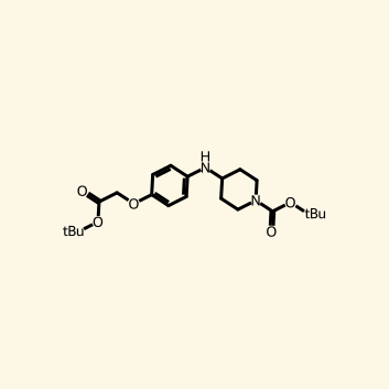 CC(C)(C)OC(=O)COc1ccc(NC2CCN(C(=O)OC(C)(C)C)CC2)cc1